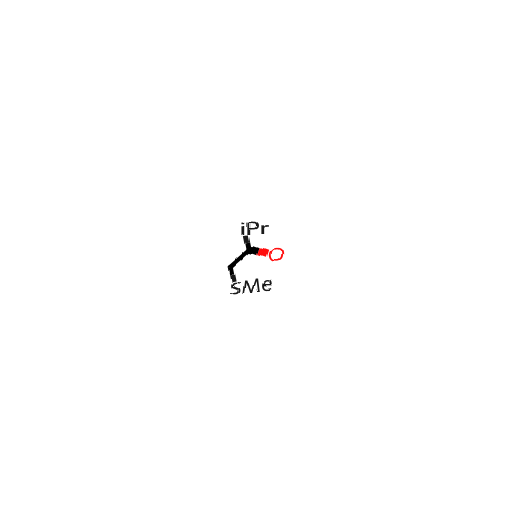 CSCC(=O)C(C)C